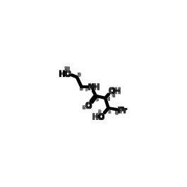 CC(C)C(O)C(O)C(=O)NCCO